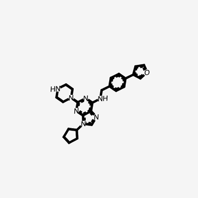 c1cc(-c2ccc(CNc3nc(N4CCNCC4)nc4c3ncn4C3CCCC3)cc2)co1